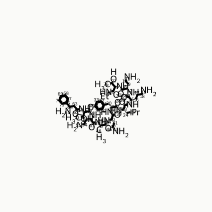 CCNC(=O)[C@@H](NC(=O)[C@H](CCN)NC(=O)[C@H](CCCN)NC(=O)[C@H](CC(C)C)NC(=O)[C@@H](Cc1ccccc1)NC(=O)[C@H](CCN)NC(=O)[C@H](C)NC(=O)[C@H](CCN)NC(=O)[C@@H](NC(=O)CC(N)c1ccccc1)C(C)O)C(C)O